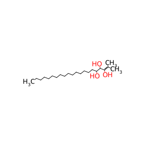 CCCCCCCCCCCCCCCCC(O)C(O)C(O)=C(C)C